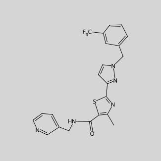 Cc1nc(-c2ccn(Cc3cccc(C(F)(F)F)c3)n2)sc1C(=O)NCc1cccnc1